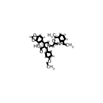 CCOc1ccc(C2C(C(=O)O)C(c3ccc4c(c3)OCO4)CN2CC(=O)Nc2c(CC)cccc2CC)cc1